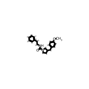 COc1ccc(CC2CCN(C(=O)NCCc3ccccc3)C2)cc1